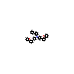 C1=CC2OC3C(C4C=CC(N(c5ccc(C6CC=CC7=C6OC6CCC=CC76)cc5)c5cccc(-c6ccccc6)c5)=CC4)C=CCC3C2C=C1